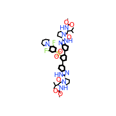 COC(=O)N[C@H](C(=O)N1CCC[C@H]1c1nc2cc(-c3ccc(-c4ccc5[nH]c([C@@H]6CCCN6C(=O)[C@@H](NC(=O)OC)C(C)C)nc5c4)c(S(=O)(=O)c4cc(F)c(N5CCCCC5)c(F)c4)c3)ccc2[nH]1)C(C)C